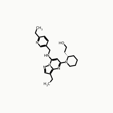 CCc1ccc(CNc2cc(N3CCCC[C@H]3CCO)nc3c(CC)cnn23)cn1